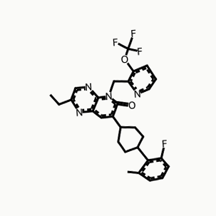 CCc1cnc2c(cc(C3CCC(c4c(C)cccc4F)CC3)c(=O)n2Cc2ncccc2OC(F)(F)F)n1